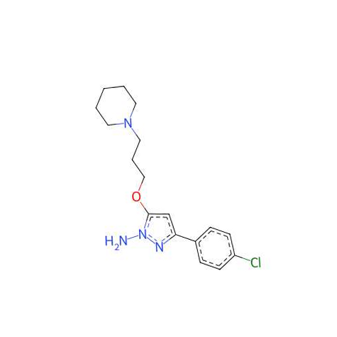 Nn1nc(-c2ccc(Cl)cc2)cc1OCCCN1CCCCC1